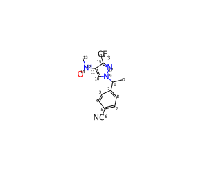 CC(c1ccc(C#N)cc1)n1cc([N+](C)=O)c(C(F)(F)F)n1